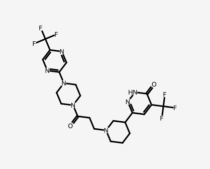 O=C(CCN1CCCC(c2cc(C(F)(F)F)c(=O)[nH]n2)C1)N1CCN(c2cnc(C(F)(F)F)cn2)CC1